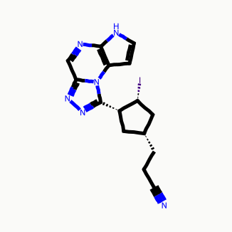 N#CCC[C@H]1C[C@@H](I)[C@@H](c2nnc3cnc4[nH]ccc4n23)C1